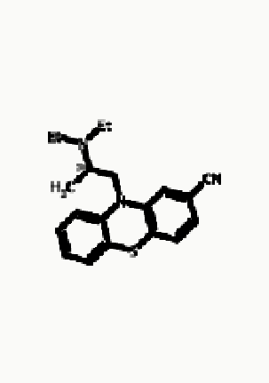 CCN(CC)[C@H](C)CN1c2ccccc2Sc2ccc(C#N)cc21